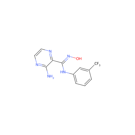 Nc1nccnc1/C(=N/O)Nc1cccc(C(F)(F)F)c1